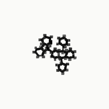 C1=c2c(n(-c3ccc4c(-c5ccccc5)c5ccccc5c(-c5ccccc5)c4c3)c3ncccc23)=CCC1